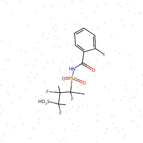 CC(F)(C(C)(F)S(=O)(=O)O)C(C)(F)S(=O)(=O)NC(=O)c1ccccc1I